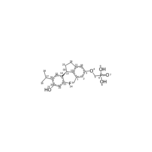 Cc1cc(OCP(=O)(O)O)cc2c1[C@@H](c1cc(C(C)C)c(O)cc1F)CC2